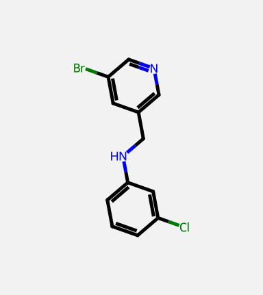 Clc1cccc(NCc2cncc(Br)c2)c1